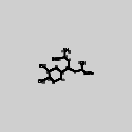 CNC(O)CN(CC(N)O)C1CCC(Cl)C(Cl)C1